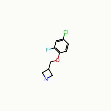 Fc1cc(Cl)ccc1OCC1C[N]C1